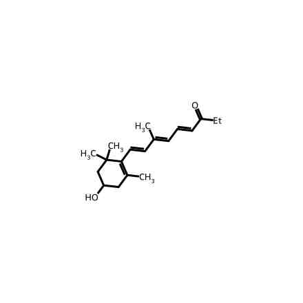 CCC(=O)/C=C/C=C(C)/C=C/C1=C(C)CC(O)CC1(C)C